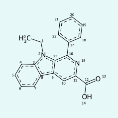 CCn1c2ccccc2c2cc(C(=O)O)nc(-c3ccccc3)c21